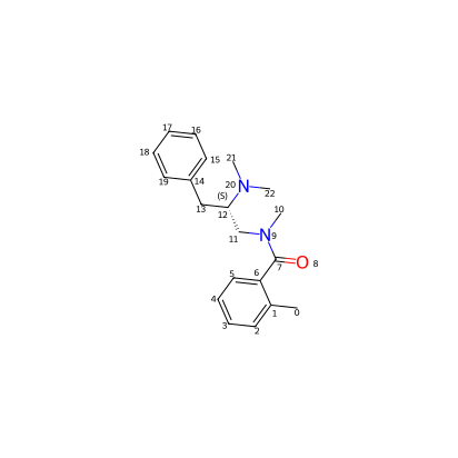 Cc1ccccc1C(=O)N(C)C[C@H](Cc1ccccc1)N(C)C